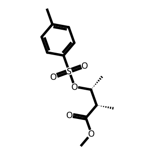 COC(=O)[C@@H](C)[C@@H](C)OS(=O)(=O)c1ccc(C)cc1